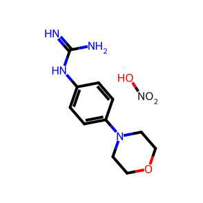 N=C(N)Nc1ccc(N2CCOCC2)cc1.O=[N+]([O-])O